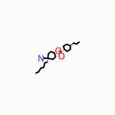 CCCCCC[C@]1(C#N)CC[C@H](OC(=O)[C@H]2CC[C@H](CCC)CC2)CC1